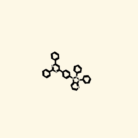 c1ccc(B2N(c3ccc(-c4cc(-c5ccccc5)nc(-c5ccccc5)n4)cc3)c3cccnc3N2c2ccccc2)cc1